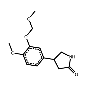 COCOc1cc(C2CNC(=O)C2)ccc1OC